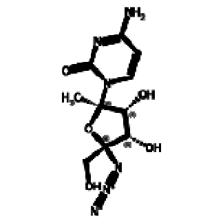 C[C@@]1(n2ccc(N)nc2=O)O[C@@](CO)(N=[N+]=[N-])[C@@H](O)[C@H]1O